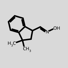 CC1(C)CC(C=NO)c2ccccc21